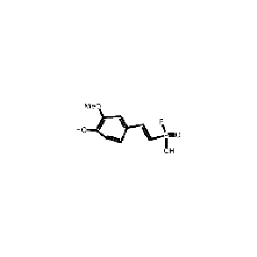 COc1cc(/C=C/P(=O)(O)F)ccc1O